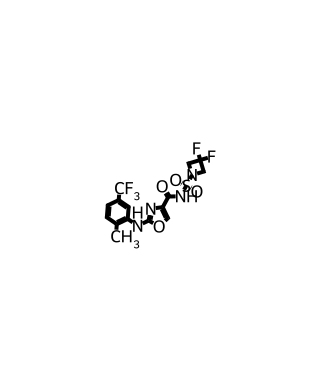 Cc1ccc(C(F)(F)F)cc1Nc1nc(C(=O)NS(=O)(=O)N2CC(F)(F)C2)co1